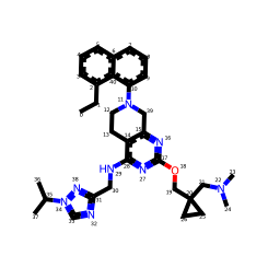 CCc1cccc2cccc(N3CCc4c(nc(OCC5(CN(C)C)CC5)nc4NCc4ncn(C(C)C)n4)C3)c12